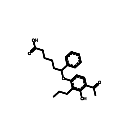 CCCc1c(OC(CCCCC(=O)O)c2ccccc2)ccc(C(C)=O)c1O